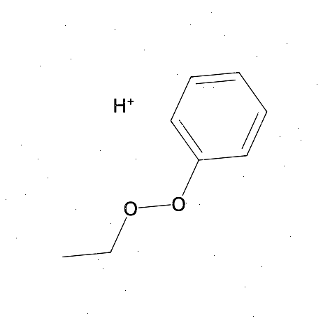 CCOOc1ccccc1.[H+]